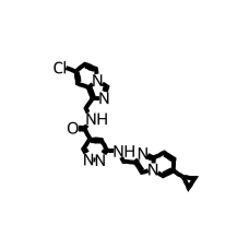 O=C(NCc1ncn2ccc(Cl)cc12)c1cnnc(NCc2cn3cc(C4CC4)ccc3n2)c1